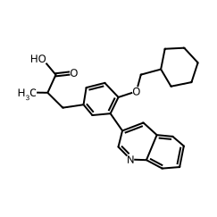 CC(Cc1ccc(OCC2CCCCC2)c(-c2cnc3ccccc3c2)c1)C(=O)O